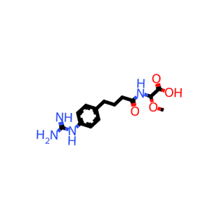 COC(NC(=O)CCCc1ccc(NC(=N)N)cc1)C(=O)O